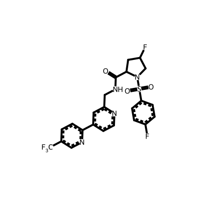 O=C(NCc1cc(-c2ccc(C(F)(F)F)cn2)ccn1)C1CC(F)CN1S(=O)(=O)c1ccc(F)cc1